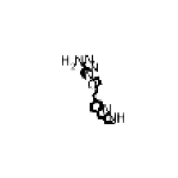 Nc1ncnc2c1ccn2C1CCC(CCc2ccc3cc4c(nc3c2)NCC4)O1